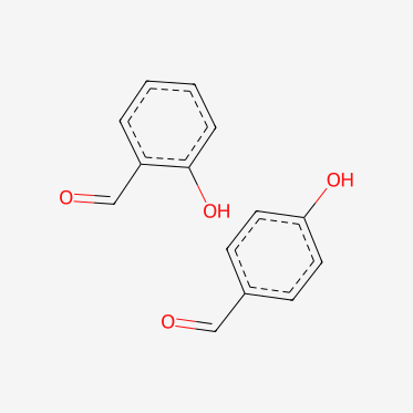 O=Cc1ccc(O)cc1.O=Cc1ccccc1O